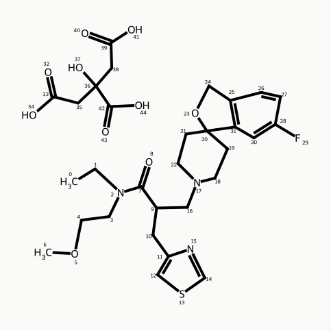 CCN(CCOC)C(=O)C(Cc1cscn1)CN1CCC2(CC1)OCc1ccc(F)cc12.O=C(O)CC(O)(CC(=O)O)C(=O)O